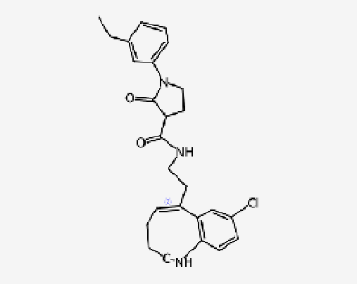 CCc1cccc(N2CCC(C(=O)NCC/C3=C/CCCNc4ccc(Cl)cc43)C2=O)c1